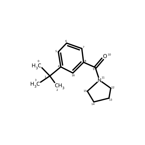 CC(C)(C)c1cccc(C(=O)N2CCCC2)c1